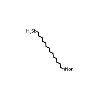 CCCCCCCCCCCCCCCCCCCCCC[CH2][SbH2]